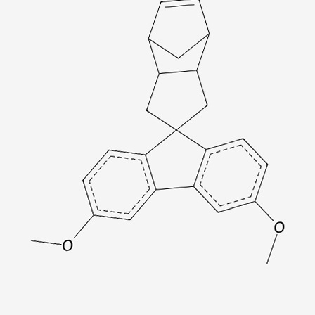 COc1ccc2c(c1)-c1cc(OC)ccc1C21CC2C3C=CC(C3)C2C1